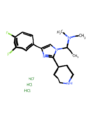 CC(N(C)C)n1cc(-c2ccc(F)c(F)c2)nc1C1CCNCC1.Cl.Cl.Cl